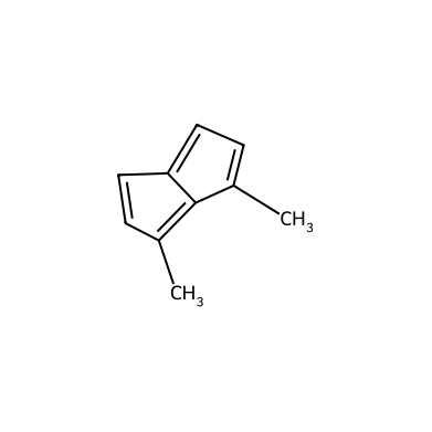 CC1=CC=C2C=CC(C)=C12